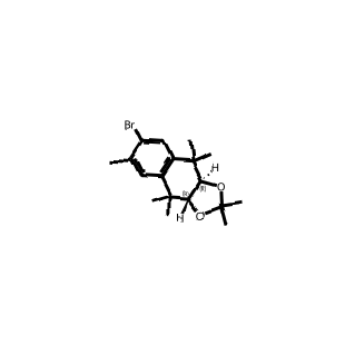 Cc1cc2c(cc1Br)C(C)(C)[C@H]1OC(C)(C)O[C@@H]1C2(C)C